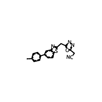 Cc1ccc(-c2ccc3sc(Cc4nnc(CC#N)o4)nc3c2)cc1